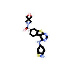 O=C([C@H]1CCc2c(sc3ncnc(Nc4ccc5[nH]sc5c4)c23)C1)N1CC2(COC2)C1